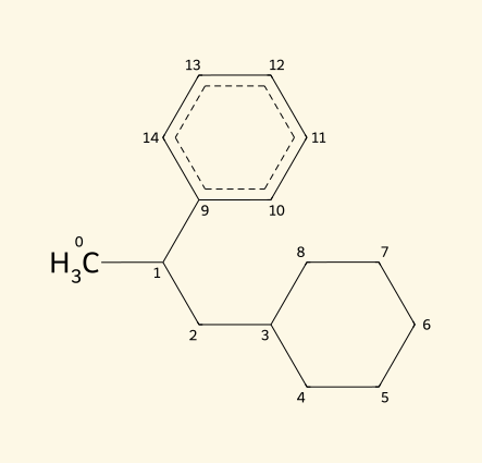 CC(CC1CCCCC1)c1ccccc1